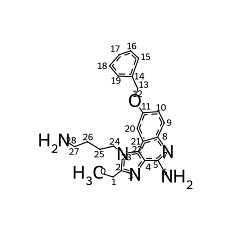 CCc1nc2c(N)nc3ccc(OCc4ccccc4)cc3c2n1CCCCN